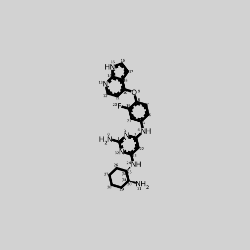 Nc1nc(Nc2ccc(Oc3ccnc4[nH]ccc34)c(F)c2)cc(N[C@H]2CCCC[C@@H]2N)n1